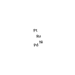 [Ni].[Pd].[Pt].[Ru]